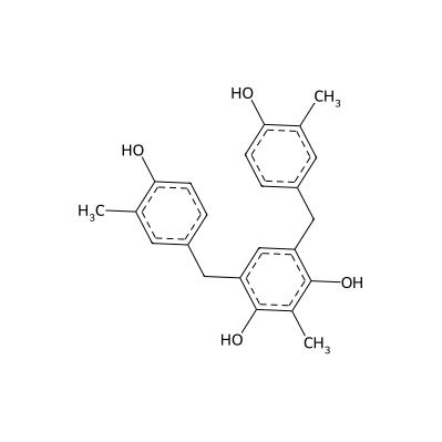 Cc1cc(Cc2cc(Cc3ccc(O)c(C)c3)c(O)c(C)c2O)ccc1O